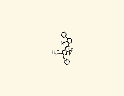 CCc1cc(/C=C/c2cccc(-c3ccccc3)c2C#N)c(C(F)(F)F)cc1CN1CCCCC1